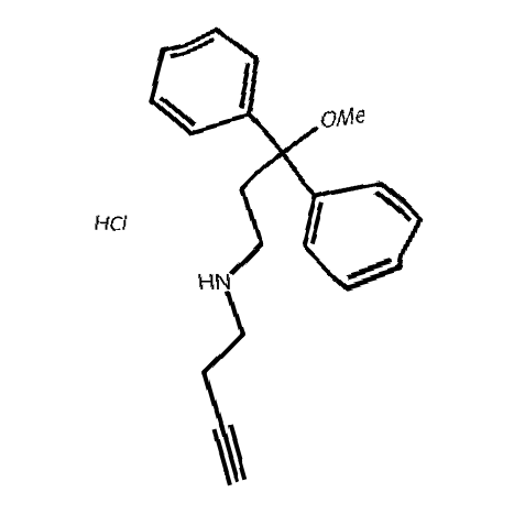 C#CCCNCCC(OC)(c1ccccc1)c1ccccc1.Cl